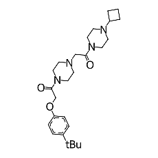 CC(C)(C)c1ccc(OCC(=O)N2CCN(CC(=O)N3CCN(C4CCC4)CC3)CC2)cc1